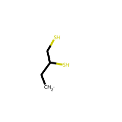 [CH2]CC(S)CS